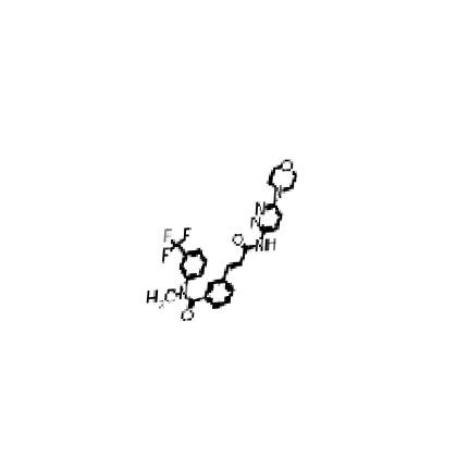 CN(C(=O)c1cccc(C=CC(=O)Nc2ccc(N3CCOCC3)nn2)c1)c1cccc(C(F)(F)F)c1